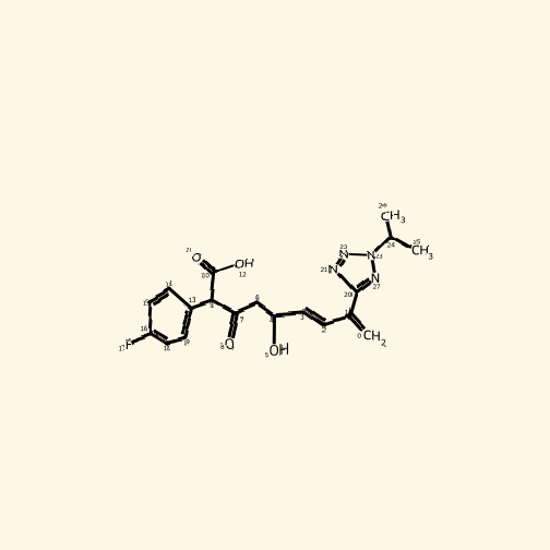 C=C(C=CC(O)CC(=O)C(C(=O)O)c1ccc(F)cc1)c1nnn(C(C)C)n1